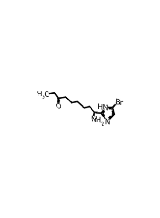 CCC(=O)CCCCCC(N)c1ncc(Br)[nH]1